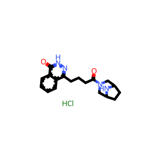 Cl.O=C(CCCc1n[nH]c(=O)c2ccccc12)N1CC2CCC(C1)N2